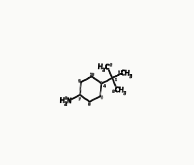 CC(C)(C)[C]1CCC(N)CC1